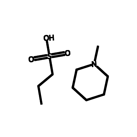 CCCS(=O)(=O)O.CN1CCCCC1